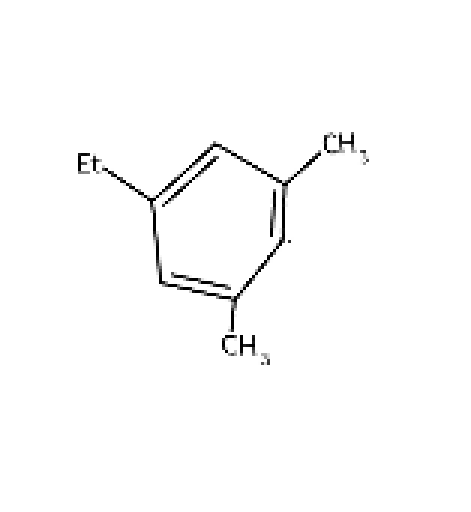 CCc1cc(C)[c]c(C)c1